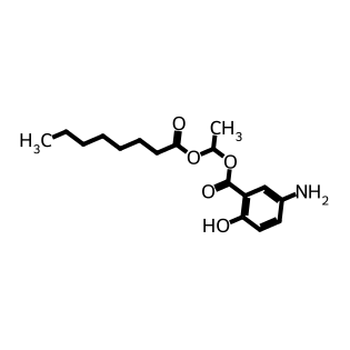 CCCCCCCC(=O)OC(C)OC(=O)c1cc(N)ccc1O